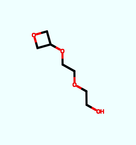 OCCOCCOC1COC1